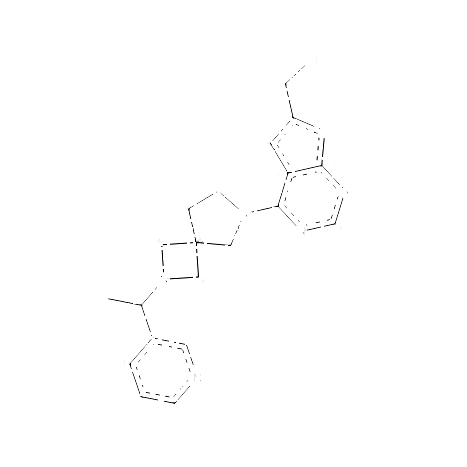 CC(c1cccnc1)N1CC2(CCN(c3ncnc4sc(CC(F)(F)F)cc34)C2)C1